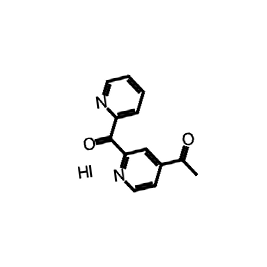 CC(=O)c1ccnc(C(=O)c2ccccn2)c1.I